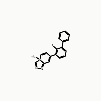 CC(C)(C)[N+]12C=CC(c3cccc(-c4ccccc4)c3F)=CC1=NN=C2